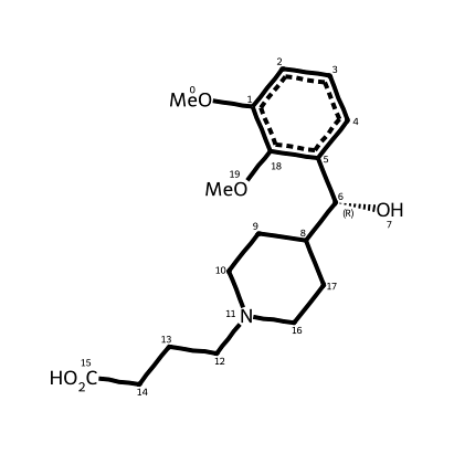 COc1cccc([C@H](O)C2CCN(CCCC(=O)O)CC2)c1OC